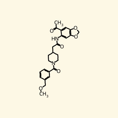 COCc1cccc(C(=O)N2CCC(CC(=O)Nc3cc4c(cc3C(C)=O)OCO4)CC2)c1